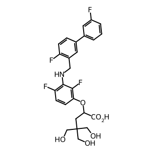 O=C(O)C(CC(CO)(CO)CO)Oc1ccc(F)c(NCc2cc(-c3cccc(F)c3)ccc2F)c1F